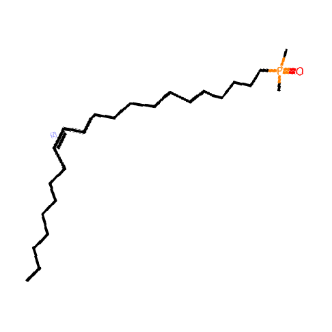 CCCCCCCC/C=C\CCCCCCCCCCCCP(C)(C)=O